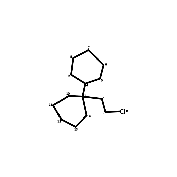 ClCCC1(C2CCCCC2)CCCCC1